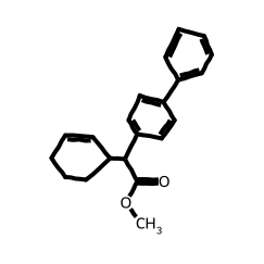 COC(=O)C(c1ccc(-c2ccccc2)cc1)C1C=CCCC1